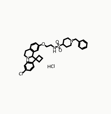 Cl.O=S(=O)(NCCOc1ccc2c(c1)C(C1(c3ccc(Cl)cc3)CCC1)NCC2)C1CCN(Cc2ccccc2)CC1